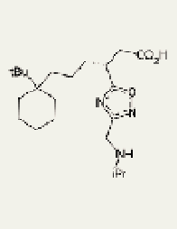 CC(C)NCc1noc([C@H](CCCC2(C(C)(C)C)CCCCC2)CC(=O)O)n1